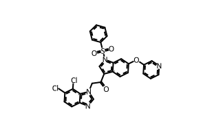 O=C(Cn1cnc2ccc(Cl)c(Cl)c21)c1cn(S(=O)(=O)c2ccccc2)c2cc(Oc3cccnc3)ccc12